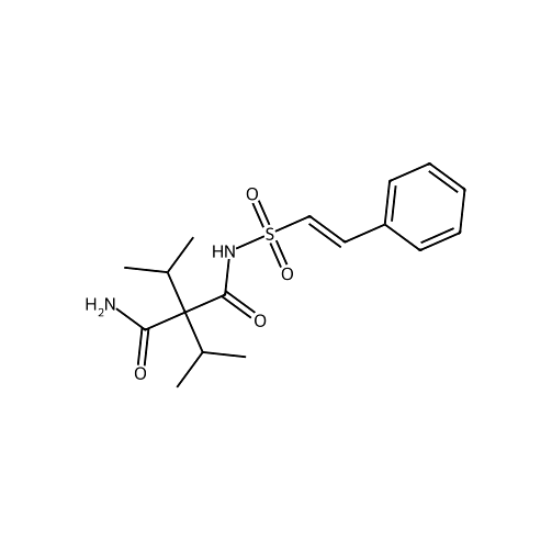 CC(C)C(C(N)=O)(C(=O)NS(=O)(=O)C=Cc1ccccc1)C(C)C